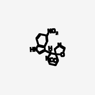 O=[N+]([O-])c1ccc2[nH]cc([C@H]3N4CCC(CC4)C34CN=CO4)c2c1